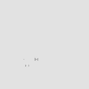 CC(=O)c1ccccc1Pc1cc(C)cc(C(C)(C)C)c1OCc1ccccc1